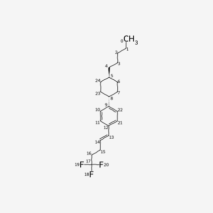 CCCCC[C@H]1CC[C@H](c2ccc(C=CCCC(F)(F)F)cc2)CC1